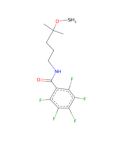 CC(C)(CCCNC(=O)c1c(F)c(F)c(F)c(F)c1F)O[SiH3]